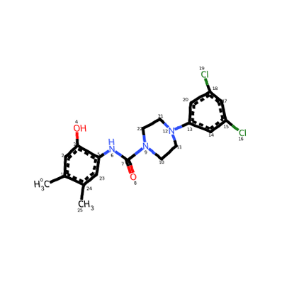 Cc1cc(O)c(NC(=O)N2CCN(c3cc(Cl)cc(Cl)c3)CC2)cc1C